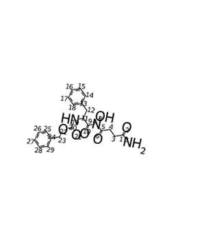 NC(=O)CCC(=O)N(O)C(=O)C(Cc1ccccc1)NC(=O)OCc1ccccc1